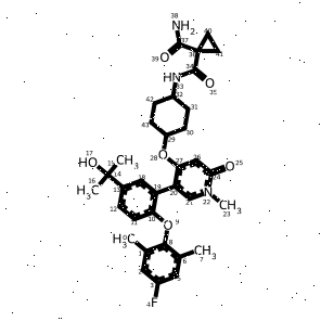 Cc1cc(F)cc(C)c1Oc1ccc(C(C)(C)O)cc1-c1cn(C)c(=O)cc1OC1CCC(NC(=O)C2(C(N)=O)CC2)CC1